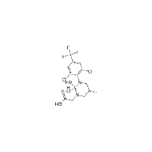 CC1CN(CC(=O)O)S(O)(O)N(c2c(Cl)cc(C(F)(F)F)cc2Cl)C1